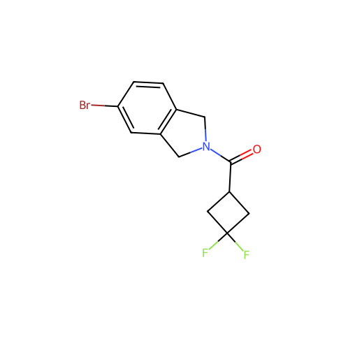 O=C(C1CC(F)(F)C1)N1Cc2ccc(Br)cc2C1